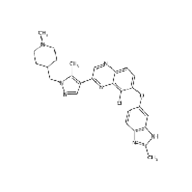 Cc1nc2ccc(Oc3ccc4ncc(-c5cnn(CC6CCN(C)CC6)c5C)nc4c3Cl)cc2[nH]1